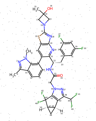 Cc1nn(C)c2c(-c3cc4sc(N5CC(C)(O)C5)nc4nc3[C@H](Cc3cc(F)cc(F)c3)NC(=O)Cn3nc(C(F)F)c4c3C(F)(F)[C@@H]3C[C@H]43)cccc12